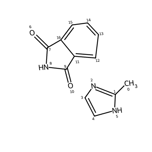 Cc1ncc[nH]1.O=C1NC(=O)c2ccccc21